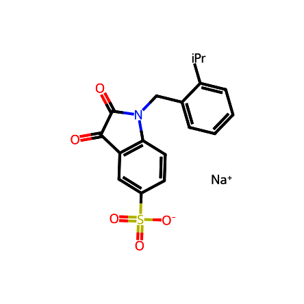 CC(C)c1ccccc1CN1C(=O)C(=O)c2cc(S(=O)(=O)[O-])ccc21.[Na+]